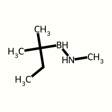 CCC(C)(C)BNC